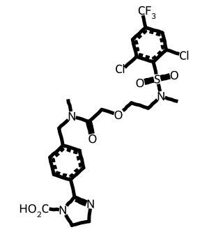 CN(Cc1ccc(C2=NCCN2C(=O)O)cc1)C(=O)COCCN(C)S(=O)(=O)c1c(Cl)cc(C(F)(F)F)cc1Cl